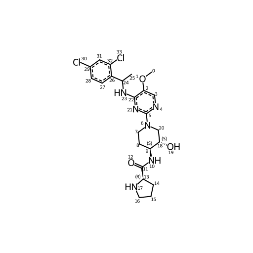 COc1cnc(N2CC[C@H](NC(=O)[C@H]3CCCN3)[C@@H](O)C2)nc1NC(C)c1ccc(Cl)cc1Cl